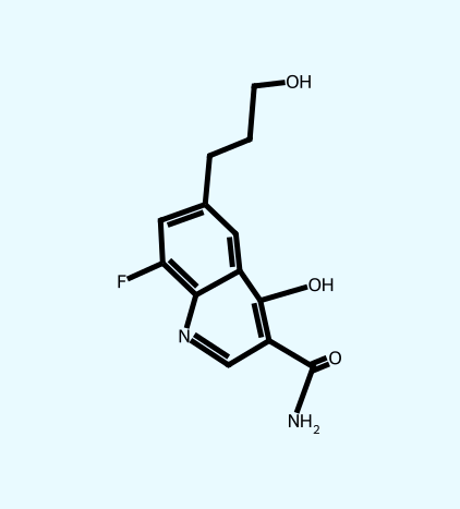 NC(=O)c1cnc2c(F)cc(CCCO)cc2c1O